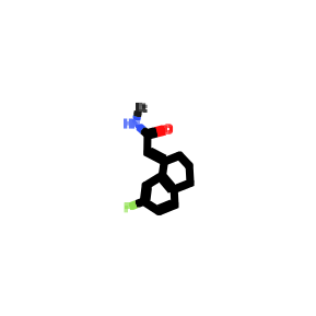 CCNC(=O)C=C1CCCc2ccc(F)cc21